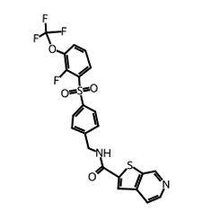 O=C(NCc1ccc(S(=O)(=O)c2cccc(OC(F)(F)F)c2F)cc1)c1cc2ccncc2s1